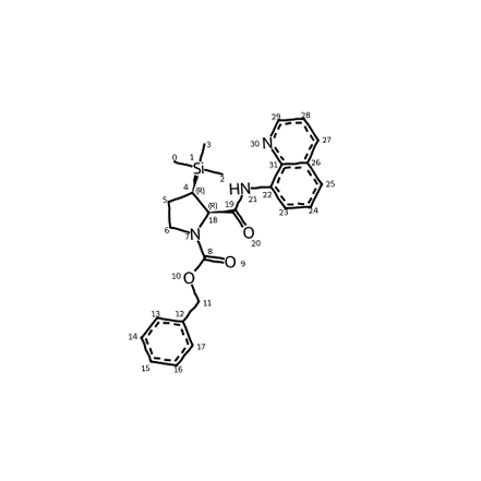 C[Si](C)(C)[C@@H]1CCN(C(=O)OCc2ccccc2)[C@@H]1C(=O)Nc1cccc2cccnc12